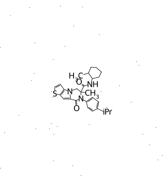 CC(C)c1ccc(N2C(=O)c3cc4sccc4n3CC2(C)C(=O)NC2CCCCC2C)cc1